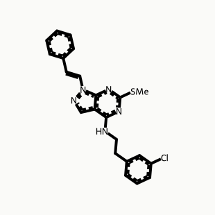 CSc1nc(NCCc2cccc(Cl)c2)c2cnn(C=Cc3ccccc3)c2n1